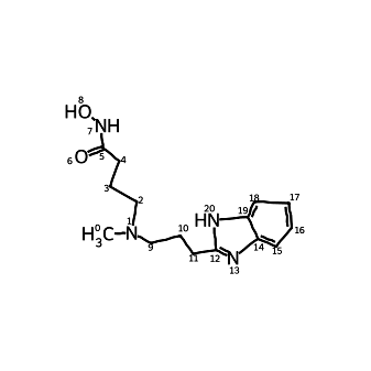 CN(CCCC(=O)NO)CCCc1nc2ccccc2[nH]1